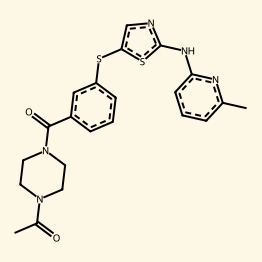 CC(=O)N1CCN(C(=O)c2cccc(Sc3cnc(Nc4cccc(C)n4)s3)c2)CC1